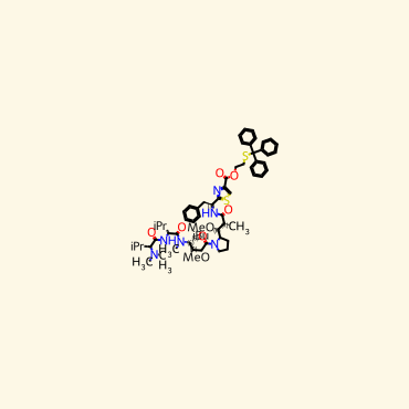 CC[C@H](C)[C@@H]([C@@H](CC(=O)N1CCCC1[C@H](OC)[C@@H](C)C(=O)N[C@@H](Cc1ccccc1)c1nc(C(=O)OCCSC(c2ccccc2)(c2ccccc2)c2ccccc2)cs1)OC)N(C)C(=O)C(NC(=O)C(C(C)C)N(C)C)C(C)C